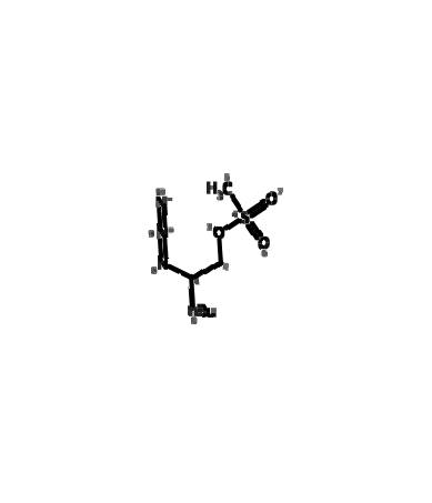 CCCCC(COS(C)(=O)=O)N=[N+]=[N-]